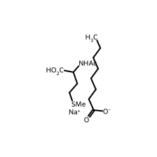 CCCCCCCC(=O)[O-].CSCCC(NC(C)=O)C(=O)O.[Na+]